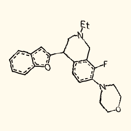 CCN1Cc2c(ccc(N3CCOCC3)c2F)C(c2cc3ccccc3o2)C1